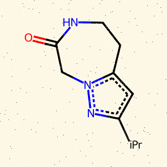 CC(C)c1cc2n(n1)CC(=O)NCC2